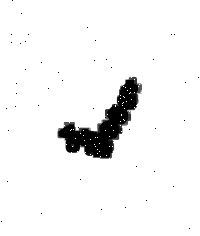 CC(C)Cn1cc(-c2ccc(-c3ccc(C4=NC5(CC5)C(=O)N4CC4CN(C(=O)C5CC5)C4)cc3)cc2)cn1